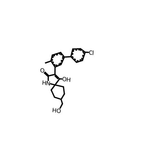 Cc1ccc(-c2ccc(Cl)cc2)cc1C1=C(O)C2(CCC(CO)CC2)NC1=O